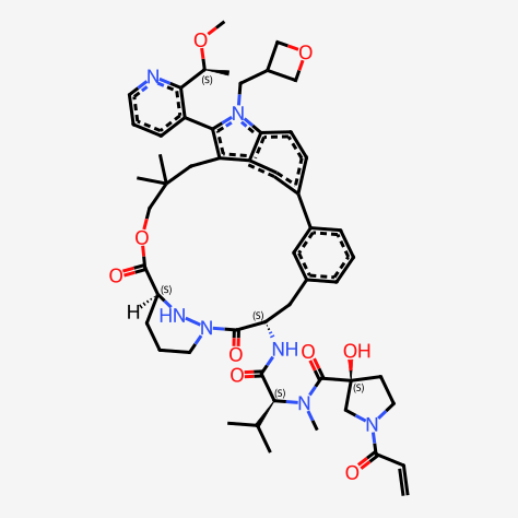 C=CC(=O)N1CC[C@@](O)(C(=O)N(C)[C@H](C(=O)N[C@H]2Cc3cccc(c3)-c3ccc4c(c3)c(c(-c3cccnc3[C@H](C)OC)n4CC3COC3)CC(C)(C)COC(=O)[C@@H]3CCCN(N3)C2=O)C(C)C)C1